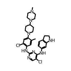 Cc1cc(Nc2ncc(Cl)c(Nc3ccc4c(c3)NCC4)n2)c(Cl)cc1N1CCC(N2CCN(C)CC2)CC1